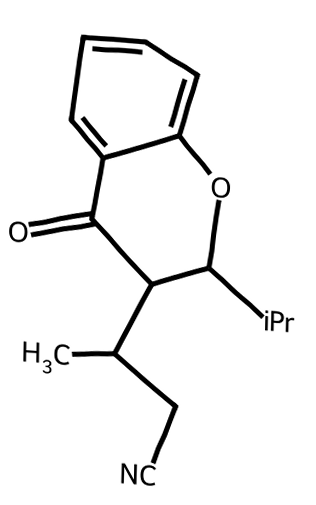 CC(C)C1Oc2ccccc2C(=O)C1C(C)CC#N